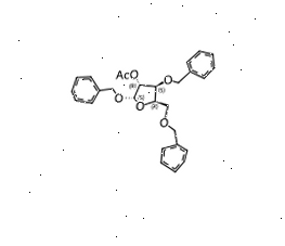 CC(=O)O[C@H]1[C@@H](OCc2ccccc2)O[C@H](COCc2ccccc2)[C@@H]1OCc1ccccc1